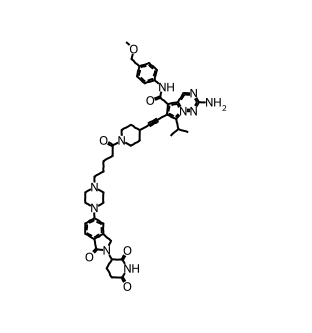 COCc1ccc(NC(=O)c2c(C#CC3CCN(C(=O)CCCCN4CCN(c5ccc6c(c5)CN(C5CCC(=O)NC5=O)C6=O)CC4)CC3)c(C(C)C)n3nc(N)ncc23)cc1